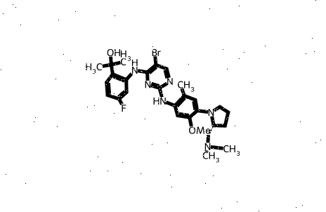 COc1cc(Nc2ncc(Br)c(Nc3cc(F)ccc3C(C)(C)O)n2)c(C)cc1N1CCC[C@@H]1CN(C)C